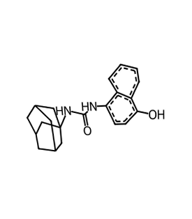 O=C(Nc1ccc(O)c2ccccc12)NC12CC3CC(CC(C3)C1)C2